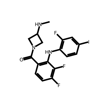 CNC1CN(C(=O)c2ccc(F)c(F)c2Nc2ccc(I)cc2F)C1